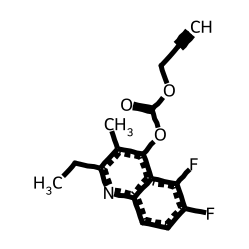 C#CCOC(=O)Oc1c(C)c(CC)nc2ccc(F)c(F)c12